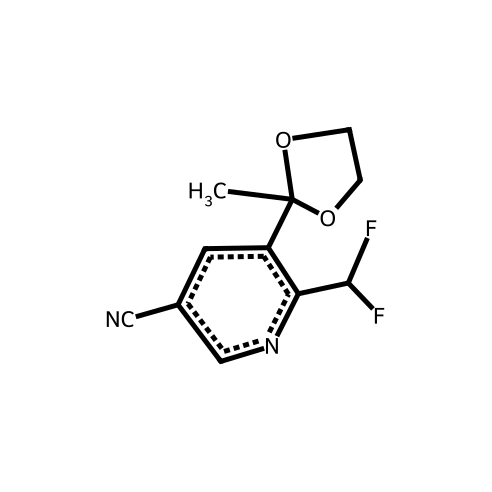 CC1(c2cc(C#N)cnc2C(F)F)OCCO1